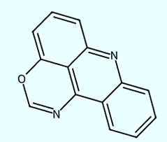 C1=Nc2c3ccccc3nc3cccc(c23)O1